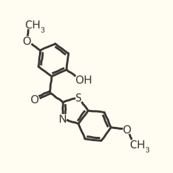 COc1ccc(O)c(C(=O)c2nc3ccc(OC)cc3s2)c1